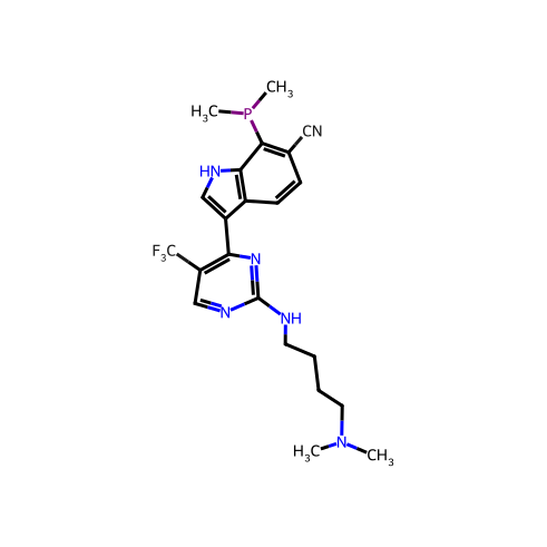 CN(C)CCCCNc1ncc(C(F)(F)F)c(-c2c[nH]c3c(P(C)C)c(C#N)ccc23)n1